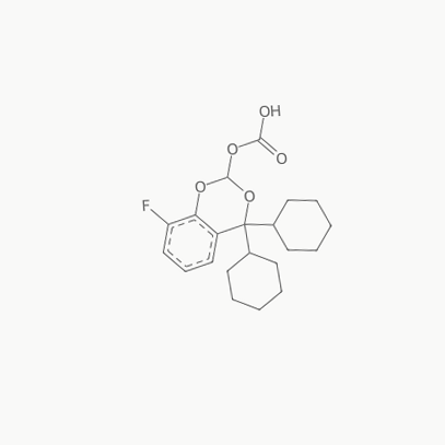 O=C(O)OC1Oc2c(F)cccc2C(C2CCCCC2)(C2CCCCC2)O1